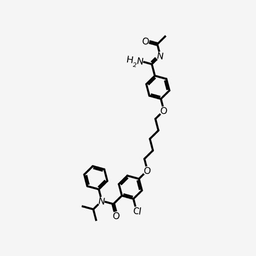 CC(=O)/N=C(\N)c1ccc(OCCCCCOc2ccc(C(=O)N(c3ccccc3)C(C)C)c(Cl)c2)cc1